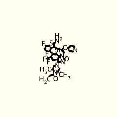 C=CC(=O)N1[C@H](C)CN(c2nc(=O)n3c4c(c(-c5ccc(F)c6sc(N)c(C#N)c56)c(C(F)(F)F)cc24)SCC(Oc2ccncc2)C3)C[C@@H]1C